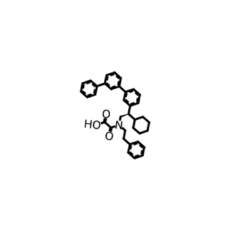 O=C(O)C(=O)N(CCc1ccccc1)C[C@@H](c1cccc(-c2cccc(-c3ccccc3)c2)c1)C1CCCCC1